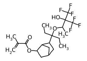 C=C(C)C(=O)OC1CC2CC1C(C(CC)(CC)OC(C)C(O)(C(F)(F)F)C(F)(F)F)C2